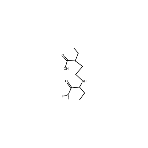 CCC(CCNC(CC)C(=O)NI)C(=O)O